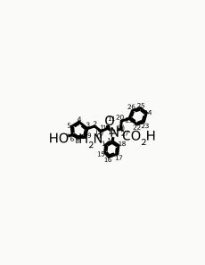 N[C@@H](Cc1ccc(O)cc1)C(=O)N(c1ccccc1)[C@@H](Cc1ccccc1)C(=O)O